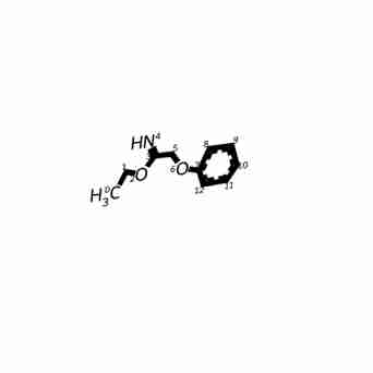 CCOC(=N)COc1ccccc1